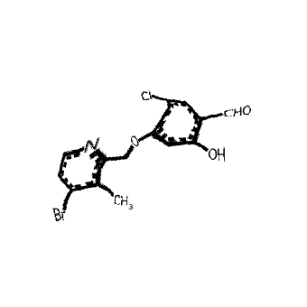 Cc1c(Br)ccnc1COc1cc(O)c(C=O)cc1Cl